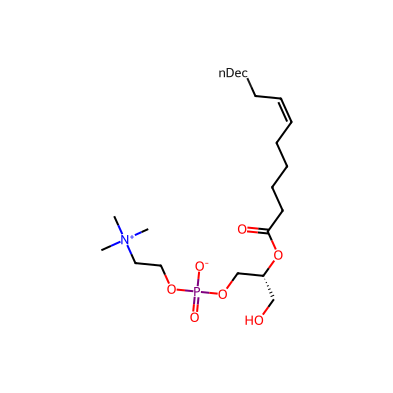 CCCCCCCCCCC/C=C\CCCCC(=O)O[C@H](CO)COP(=O)([O-])OCC[N+](C)(C)C